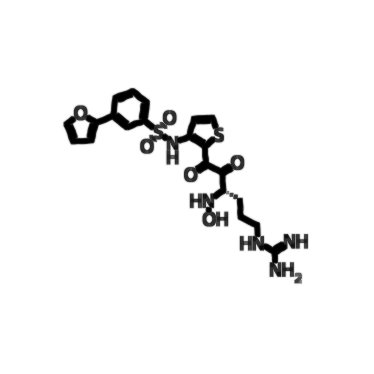 N=C(N)NCCC[C@H](NO)C(=O)C(=O)c1sccc1NS(=O)(=O)c1cccc(-c2ccco2)c1